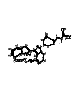 CCC(=O)NC[C@H]1CC[C@H](c2nc(-c3cc4cccc(OC)c4[nH]3)c3c(N)nccn32)CC1